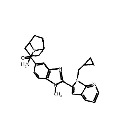 Cn1c(-c2cc3cccnc3n2CC2CC2)nc2cc(C(=O)N3C4CCC3CC(N)C4)ccc21